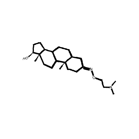 CN(C)CCON=C1CC[C@@]2(C)C(CCC3C2CC[C@@]2(C)C3CC[C@@H]2O)C1